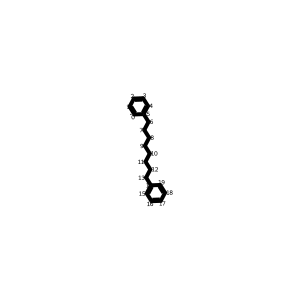 [c]1ccccc1CCCCCCCCc1ccccc1